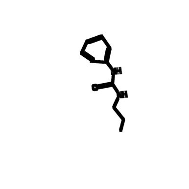 CCCNC(=O)Nc1[c]cccc1